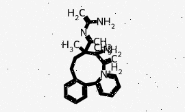 C=C(N)/N=C(\C)C1(C)CCc2ccccc2-c2cccc[n+]2C(=C)C1(C)N